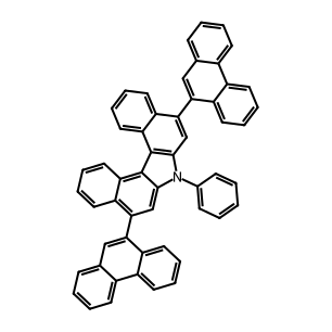 c1ccc(-n2c3cc(-c4cc5ccccc5c5ccccc45)c4ccccc4c3c3c4ccccc4c(-c4cc5ccccc5c5ccccc45)cc32)cc1